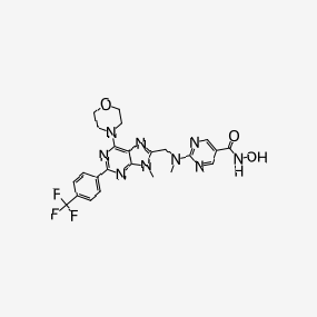 CN(Cc1nc2c(N3CCOCC3)nc(-c3ccc(C(F)(F)F)cc3)nc2n1C)c1ncc(C(=O)NO)cn1